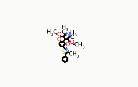 CCOC(=O)C1=C(C)NC(C)=C(C(=O)OCC)C1c1cccc(-c2nc(C)c(-c3ccccc3)s2)c1